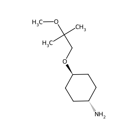 COC(C)(C)CO[C@H]1CC[C@H](N)CC1